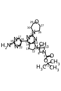 CC(C)(C)OC(=O)N1CC(C)(N2CCc3c(-c4cnc(N)nc4)nc(N4CCOCC4)nc32)C1